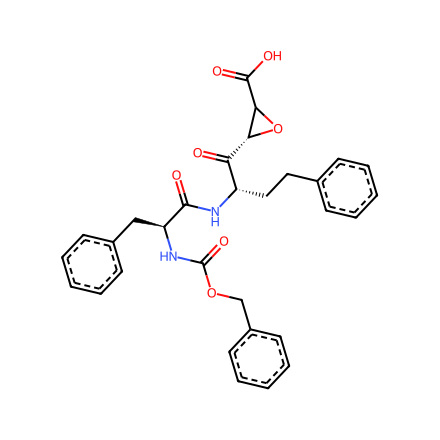 O=C(N[C@@H](Cc1ccccc1)C(=O)N[C@@H](CCc1ccccc1)C(=O)[C@H]1OC1C(=O)O)OCc1ccccc1